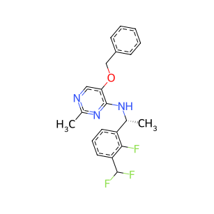 Cc1ncc(OCc2ccccc2)c(N[C@H](C)c2cccc(C(F)F)c2F)n1